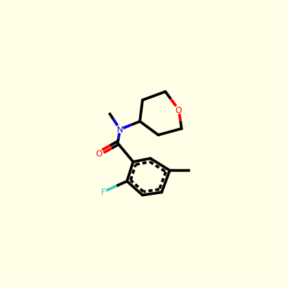 Cc1ccc(F)c(C(=O)N(C)C2CCOCC2)c1